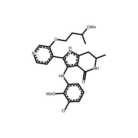 COc1c(Cl)cccc1Nc1c(-c2ccncc2OCCC(C)OC)[nH]c2c1C(=O)NC(C)C2